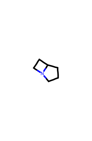 C1C[C]2CCN2C1